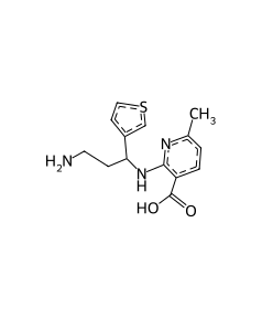 Cc1ccc(C(=O)O)c(NC(CCN)c2ccsc2)n1